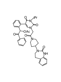 CC(=O)OC(C(=O)c1ccccc1)c1ccccc1-c1cn(CC(=O)N2CCC(N3CCc4ccccc4NC3=O)CC2)c(=O)n(C(C)C)c1=O